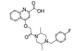 CC1CN(C(=O)COc2cc(C(=O)O)nc3ccccc23)C(C)CN1Cc1ccc(F)cc1